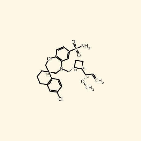 C=C[C@H](OC)[C@@H]1CC[C@H]1CN1C[C@@]2(CCCc3cc(Cl)ccc32)COc2ccc(S(N)(=O)=O)cc21